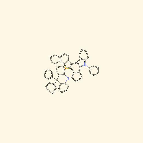 c1ccc(-n2c3ccccc3c3c4c5ccc6ccccc6c5sc4c4c(N5c6ccccc6C(c6ccccc6)(c6ccccc6)c6ccccc65)cccc4c32)cc1